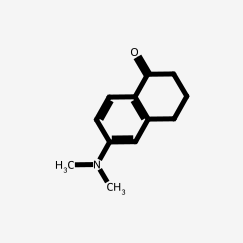 CN(C)c1ccc2c(c1)CCCC2=O